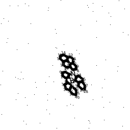 c1cc2c3c(c1)N(c1ccc4ccc5cccc6ccc1c4c56)c1ccc4ccccc4c1B3c1c-2ccc2ccccc12